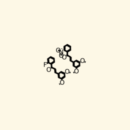 COc1cc(C=CC(=O)c2ccccc2F)cc(OC)c1.COc1cc(C=CC(=O)c2ccccc2[N+](=O)[O-])cc(OC)c1